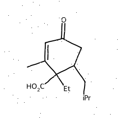 CCC1(C(=O)O)C(C)=CC(=O)CC1CC(C)C